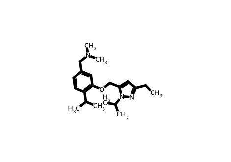 CCc1cc(COc2cc(CN(C)C)ccc2C(C)C)n(C(C)C)n1